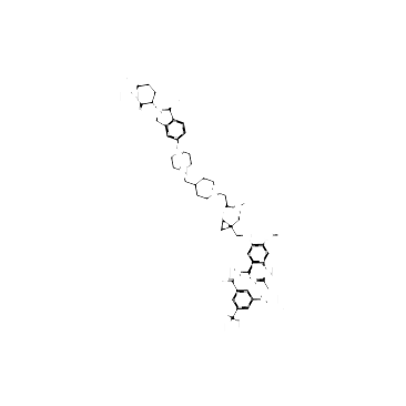 COc1cc2nc(C)nc(N[C@H](C)c3cc(N)cc(C(F)(F)F)c3)c2cc1OCC1(CN(C)C(=O)CN2CCC(CN3CCN(c4ccc5c(c4)CN(C4CCC(=O)NC4=O)C5=O)CC3)CC2)CC1